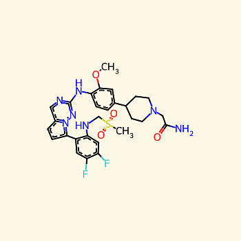 COc1cc(C2CCN(CC(N)=O)CC2)ccc1Nc1ncc2ccc(-c3cc(F)c(F)cc3NCS(C)(=O)=O)n2n1